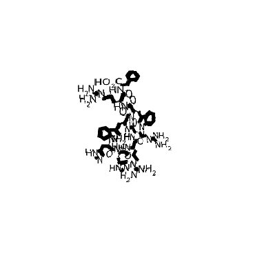 NC(N)=NCCC[C@H](NC(=O)[C@H](Cc1c[nH]c2ccccc12)NC(=O)[C@H](Cc1c[nH]c2ccccc12)NC(=O)[C@H](CCCN=C(N)N)NC(=O)[C@H](CCCN=C(N)N)NC(=O)[C@H](Cc1cnc[nH]1)NC(=O)[C@@H](N)Cc1cnc[nH]1)C(=O)N[C@@H](Cc1ccccc1)C(=O)O